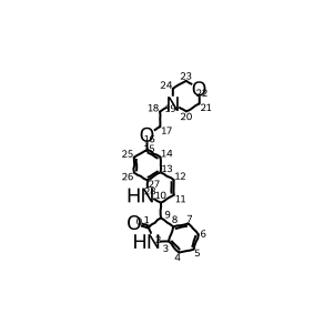 O=C1Nc2ccccc2C1C1C=Cc2cc(OCCN3CCOCC3)ccc2N1